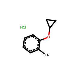 Cl.N#Cc1ccccc1OC1CC1